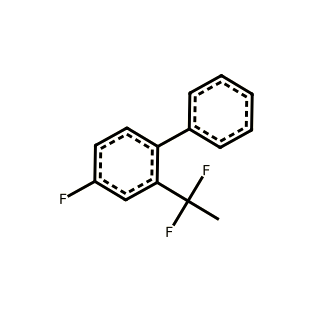 CC(F)(F)c1cc(F)ccc1-c1ccccc1